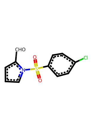 O=Cc1cccn1S(=O)(=O)c1ccc(Cl)cc1